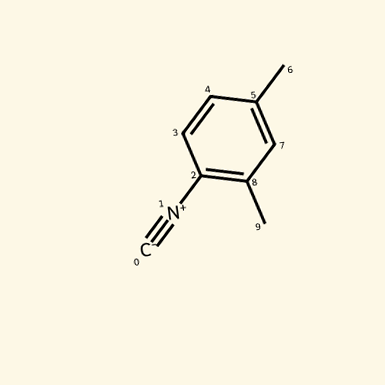 [C-]#[N+]c1ccc(C)cc1C